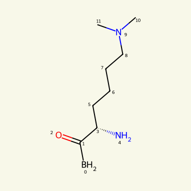 BC(=O)[C@@H](N)CCCCN(C)C